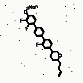 C=CCCC1CCC(c2ccc(-c3ccc(-c4ccc(OCCCCCCCCC)c(F)c4F)cc3)c(F)c2)CO1